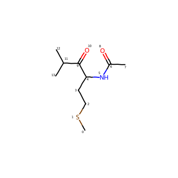 CSCCC(NC(C)=O)C(=O)C(C)C